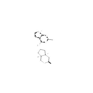 Cc1nc(N[C@H]2C[C@H]3CNC(=O)C[C@H]3C2)c2cc[nH]c2n1